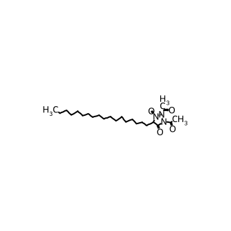 CCCCCCCCCCCCCCCCCCC1C(=O)N(C(C)=O)N(C(C)=O)[N+]1=O